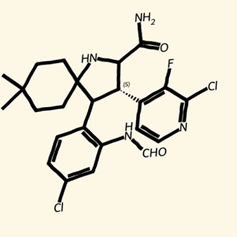 CC1(C)CCC2(CC1)NC(C(N)=O)[C@H](c1ccnc(Cl)c1F)C2c1ccc(Cl)cc1NC=O